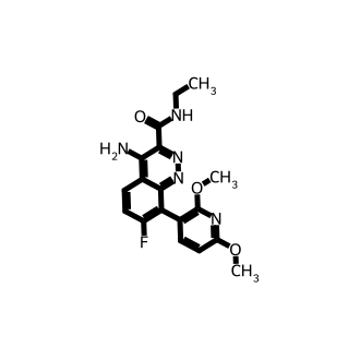 CCNC(=O)c1nnc2c(-c3ccc(OC)nc3OC)c(F)ccc2c1N